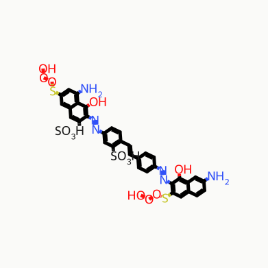 Nc1ccc2cc(SOOO)c(N=Nc3ccc(C=Cc4ccc(N=Nc5c(S(=O)(=O)O)cc6cc(SOOO)cc(N)c6c5O)cc4S(=O)(=O)O)cc3)c(O)c2c1